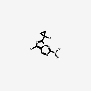 CCC1(c2nc(Cl)c3cnc([S+](C)[O-])nn23)CC1